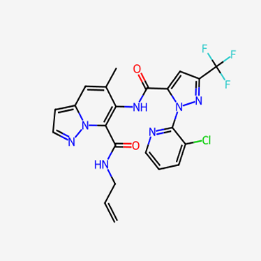 C=CCNC(=O)c1c(NC(=O)c2cc(C(F)(F)F)nn2-c2ncccc2Cl)c(C)cc2ccnn12